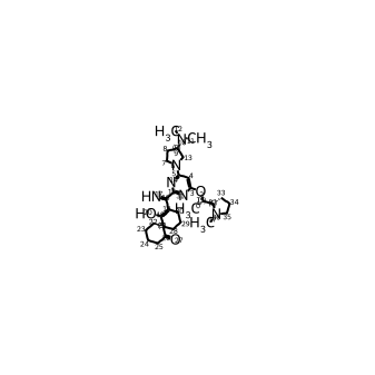 C[C@H](Oc1cc(N2CC[C@@H](N(C)C)C2)nc(C(=N)C2=C(O)[C@]3(CCCCC3=O)CCC2)n1)[C@@H]1CCCN1C